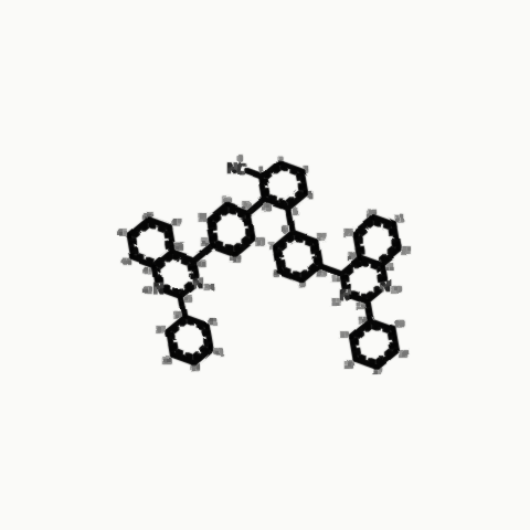 N#Cc1cccc(-c2cccc(-c3nc(-c4ccccc4)nc4ccccc34)c2)c1-c1ccc(-c2nc(-c3ccccc3)nc3ccccc23)cc1